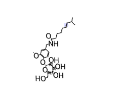 COc1cc(CNC(=O)CCCC/C=C/C(C)C)ccc1OC1O[C@H](CO)[C@@H](O)[C@H](O)[C@H]1O